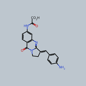 Nc1ccc(C=C2CCn3c2nc2cc(NC(=O)C(=O)O)ccc2c3=O)cc1